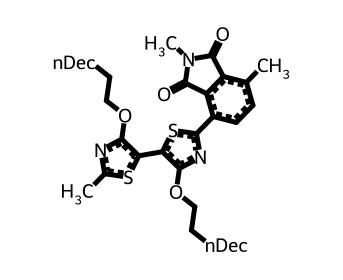 CCCCCCCCCCCCOc1nc(C)sc1-c1sc(-c2ccc(C)c3c2C(=O)N(C)C3=O)nc1OCCCCCCCCCCCC